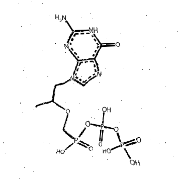 CC(Cn1cnc2c(=O)[nH]c(N)nc21)OCP(=O)(O)OP(=O)(O)OP(=O)(O)O